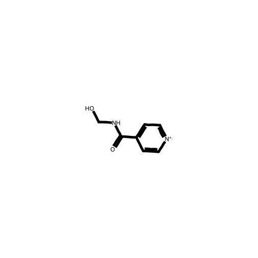 O=C(NCO)C1=CC=[N+]C=C1